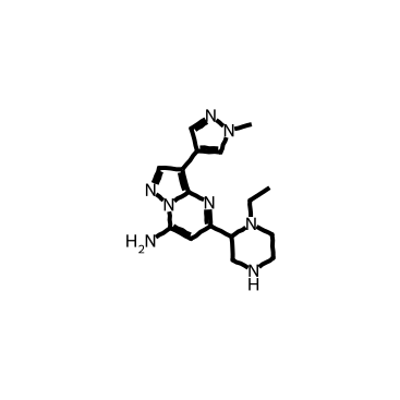 CCN1CCNCC1c1cc(N)n2ncc(-c3cnn(C)c3)c2n1